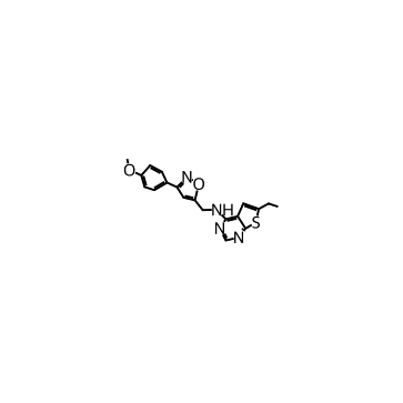 CCc1cc2c(NCc3cc(-c4ccc(OC)cc4)no3)ncnc2s1